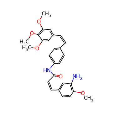 COc1ccc(/C=C\C(=O)Nc2ccc(/C=C\c3cc(OC)c(OC)c(OC)c3)cc2)cc1N